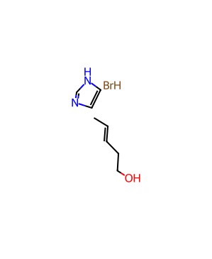 Br.CC=CCCO.c1c[nH]cn1